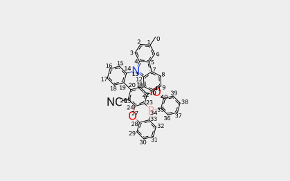 Cc1ccc2c(c1)c1ccccc1n2-c1ccccc1-c1cc2c3c(c1C#N)Oc1ccccc1B3c1ccccc1O2